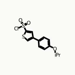 CC(C)Oc1ccc(-c2csc(S(=O)(=O)Cl)c2)cc1